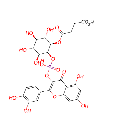 O=C(O)CCC(=O)O[C@@H]1[C@@H](O)[C@H](O)[C@@H](O)[C@H](O)[C@@H]1OP(=O)(O)Oc1c(-c2ccc(O)c(O)c2)oc2cc(O)cc(O)c2c1=O